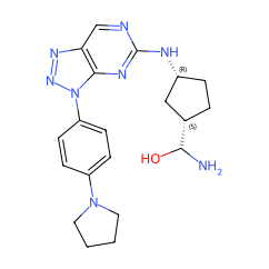 NC(O)[C@H]1CC[C@@H](Nc2ncc3nnn(-c4ccc(N5CCCC5)cc4)c3n2)C1